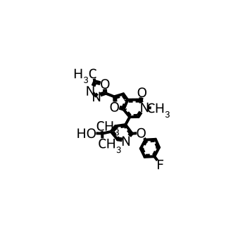 Cc1nnc(-c2cc3c(=O)n(C)cc(-c4cc(C(C)(C)O)cnc4Oc4ccc(F)cc4)c3o2)o1